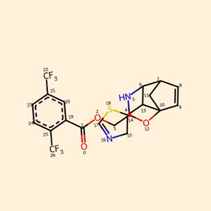 O=C(OCC1NC2C3C=CC(C3)(O1)C2C1CN=CS1)c1cc(C(F)(F)F)ccc1C(F)(F)F